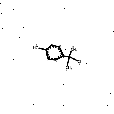 CC(C)(Cl)c1ccc(O)cc1